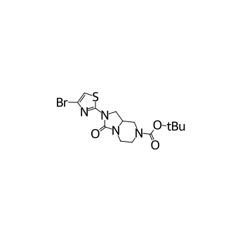 CC(C)(C)OC(=O)N1CCN2C(=O)N(c3nc(Br)cs3)CC2C1